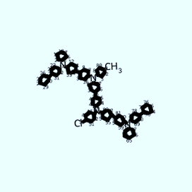 Cc1ccc(N(c2ccc(-c3ccc(N(c4ccccc4)c4ccc(-c5ccccc5)cc4)cc3)cc2)c2ccc(-c3ccc(N(c4ccc(Cl)cc4)c4ccc(-c5ccc(N(c6ccccc6)c6ccc(-c7ccccc7)cc6)cc5)cc4)cc3)cc2)cc1